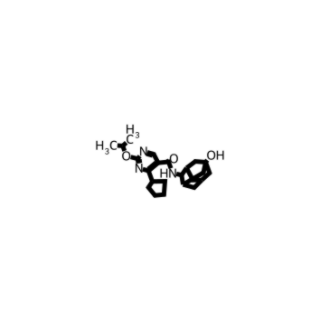 CC(C)Oc1ncc(C(=O)NC2C3CC4CC2CC(O)(C4)C3)c(C2CCCC2)n1